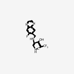 OC1=C(C(F)(F)F)CNC=C1NCc1cc2nccnc2cc1F